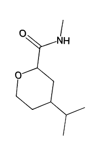 CNC(=O)C1CC(C(C)C)CCO1